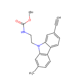 C#Cc1ccc2c3ccc(C)cc3n(CCNC(=O)OC(C)(C)C)c2c1